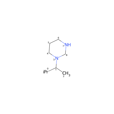 CC(C)C(C)N1CCCNC1